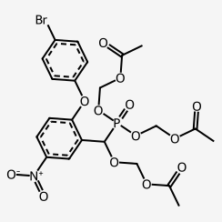 CC(=O)OCOC(c1cc([N+](=O)[O-])ccc1Oc1ccc(Br)cc1)P(=O)(OCOC(C)=O)OCOC(C)=O